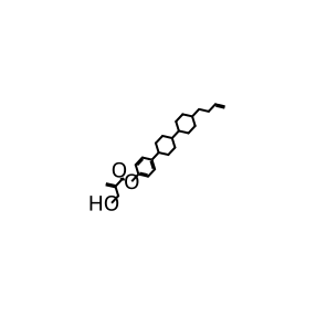 C=CCCC1CCC(C2CCC(c3ccc(OC(=O)C(=C)CO)cc3)CC2)CC1